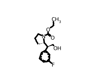 CCOC(=O)N1CCC[C@H]1[C@@H](CO)c1cccc(F)c1